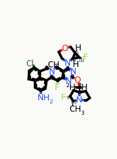 [2H]C([2H])(Oc1nc(N2CCOC[C@H]3[C@H](F)[C@H]32)c2cnc(-c3cc(N)cc4ccc(Cl)c(C#C)c34)c(F)c2n1)[C@@]12CCCN1[C@H](C)[C@H](F)C2